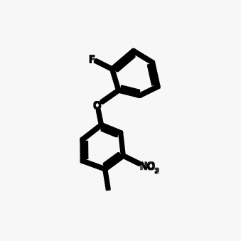 Cc1ccc(Oc2ccccc2F)cc1[N+](=O)[O-]